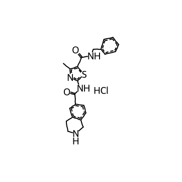 Cc1nc(NC(=O)c2ccc3c(c2)CCNC3)sc1C(=O)NCc1ccccc1.Cl